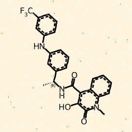 C[C@@H](NC(=O)c1c(O)c(=O)n(C)c2ccccc12)c1cccc(Nc2cccc(C(F)(F)F)c2)c1